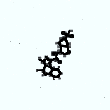 Cc1nc2ccccc2c2c1c(C)nn2C(=O)N[C@@H]1COc2cc(S(C)(=O)=O)ccc21